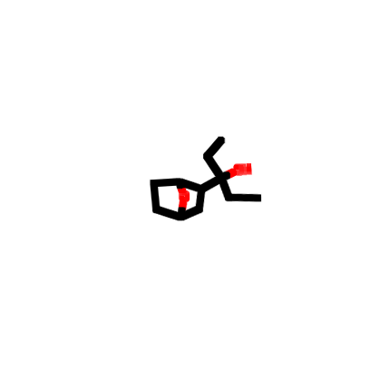 CCC(O)(CC)C1CC2CCC1O2